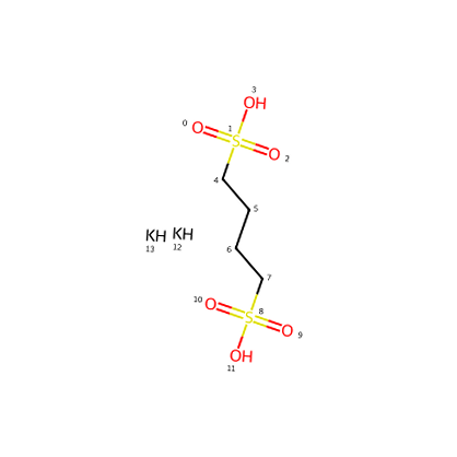 O=S(=O)(O)CCCCS(=O)(=O)O.[KH].[KH]